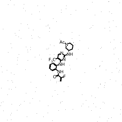 C=C(F)C(=O)Nc1ccccc1Nc1nc(N[C@H]2CCCN(C(C)=O)C2)ncc1C(F)(F)F